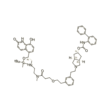 CN(CCNC[C@H](O[Si](C)(C)C(C)(C)C)c1ccc(O)c2[nH]c(=O)ccc12)C(=O)CCOCCc1cccc(CCN2C[C@H]3C[C@H](OC(=O)Nc4ccccc4-c4ccccc4)C[C@H]3C2)c1